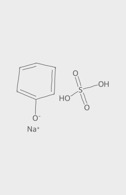 O=S(=O)(O)O.[Na+].[O-]c1ccccc1